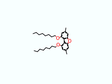 CCCCCCCCOc1cc(C)cc2oc3cc(C)cc(OCCCCCCCC)c3c12